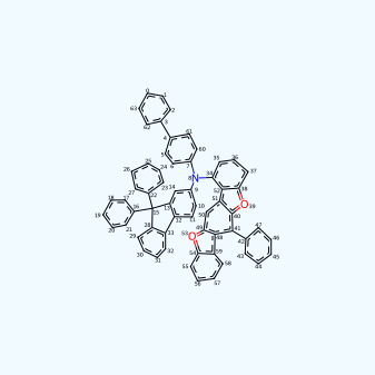 c1ccc(-c2ccc(N(c3ccc4c(c3)C(c3ccccc3)(c3ccccc3)c3ccccc3-4)c3cccc4oc5c(-c6ccccc6)c6c(cc5c34)oc3ccccc36)cc2)cc1